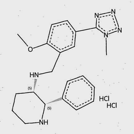 COc1ccc(-c2nnnn2C)cc1CN[C@H]1CCCN[C@H]1c1ccccc1.Cl.Cl